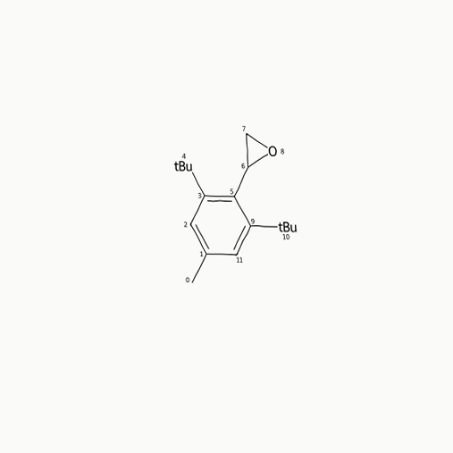 Cc1cc(C(C)(C)C)c(C2CO2)c(C(C)(C)C)c1